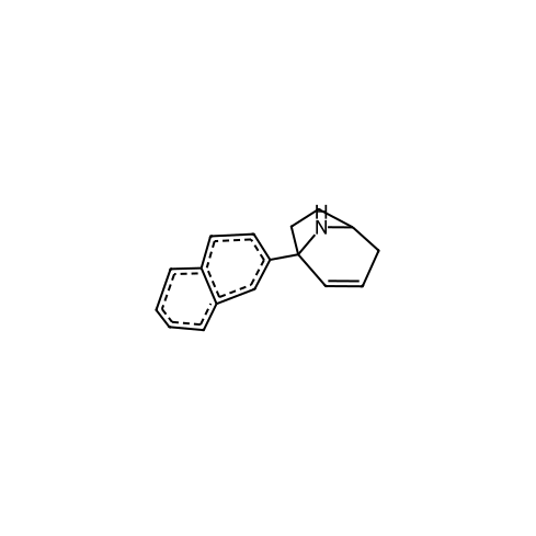 C1=CC2(c3ccc4ccccc4c3)CCC(C1)N2